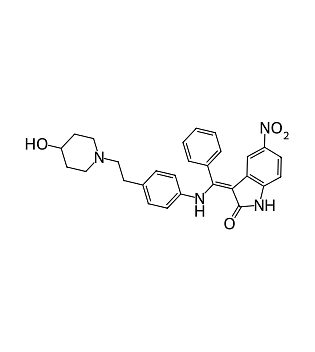 O=C1Nc2ccc([N+](=O)[O-])cc2C1=C(Nc1ccc(CCN2CCC(O)CC2)cc1)c1ccccc1